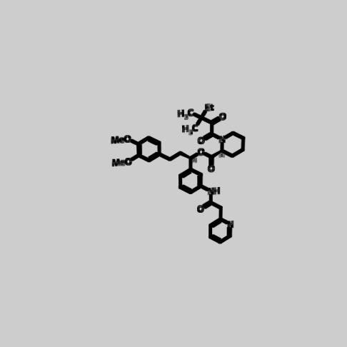 CCC(C)(C)C(=O)C(=O)N1CCCC[C@H]1C(=O)O[C@H](CCc1ccc(OC)c(OC)c1)c1cccc(NC(=O)Cc2ccccn2)c1